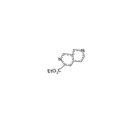 CCOC(=O)c1cc2ccncc2cn1